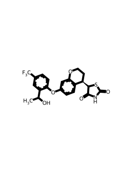 CC(O)c1cc(C(F)(F)F)ccc1Oc1ccc2c(c1)OCC[C@H]2C1SC(=O)NC1=O